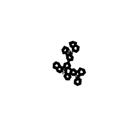 c1ccc(-n2c3ccccc3c3cc(-c4cc(-c5ccc6c(c5)c5ccccc5n6-c5cccc6ccccc56)cc5c6c7ccccc7ccc6n(-c6ccccc6)c45)ccc32)cc1